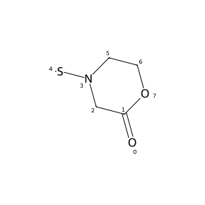 O=C1CN([S])CCO1